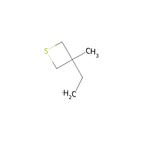 [CH2]CC1(C)CSC1